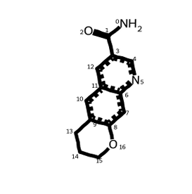 NC(=O)c1cnc2cc3c(cc2c1)CCCO3